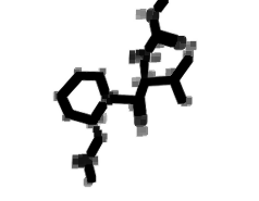 CNC[C@@H]1CCCCN1C(=O)[C@@H](NC(=O)OC)C(C)C